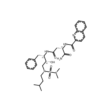 CC(C)CCN(C[C@@H](O)[C@H](Cc1ccccc1)NC(=O)C[C@H](NC(=O)c1ccc2ccccc2n1)C(N)=O)S(=O)(=O)N(C)C